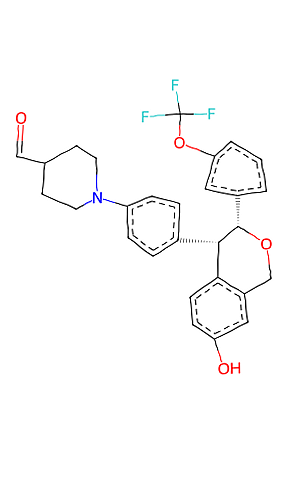 O=CC1CCN(c2ccc([C@H]3c4ccc(O)cc4CO[C@H]3c3cccc(OC(F)(F)F)c3)cc2)CC1